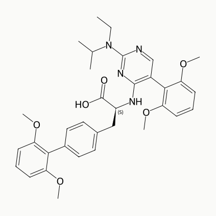 CCN(c1ncc(-c2c(OC)cccc2OC)c(N[C@@H](Cc2ccc(-c3c(OC)cccc3OC)cc2)C(=O)O)n1)C(C)C